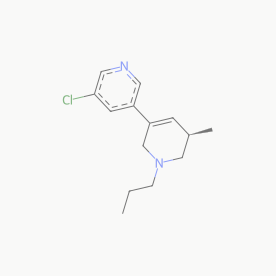 CCCN1CC(c2cncc(Cl)c2)=C[C@@H](C)C1